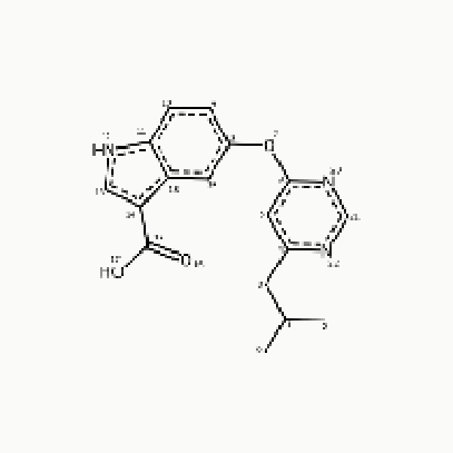 CC(C)Cc1cc(Oc2ccc3[nH]cc(C(=O)O)c3c2)ncn1